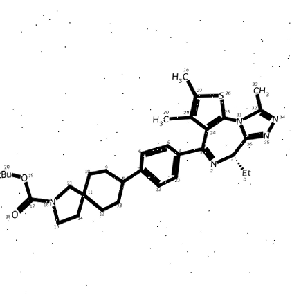 CC[C@@H]1N=C(c2ccc(C3CCC4(CC3)CCN(C(=O)OC(C)(C)C)C4)cc2)c2c(sc(C)c2C)-n2c(C)nnc21